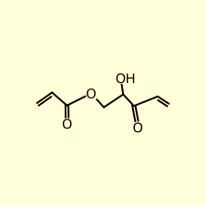 C=CC(=O)OCC(O)C(=O)C=C